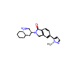 Cn1nccc1-c1ccc2c(c1)CN([C@H](CN)CC1CCCCC1)C2=O